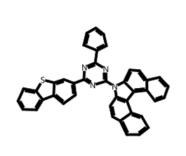 c1ccc(-c2nc(-c3ccc4c(c3)sc3ccccc34)nc(-n3c4ccc5ccccc5c4c4c5ccccc5ccc43)n2)cc1